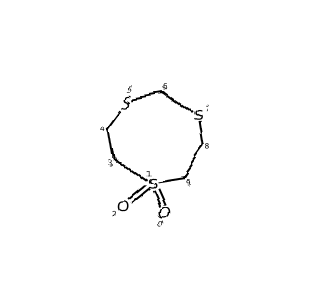 O=S1(=O)CCSCSCC1